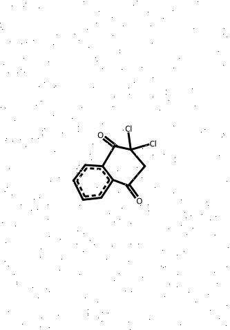 O=C1CC(Cl)(Cl)C(=O)c2ccccc21